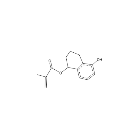 C=C(C)C(=O)OC1CCCc2c(O)cccc21